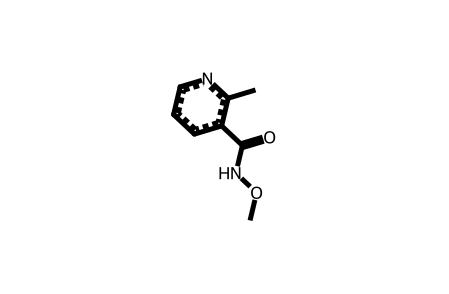 CONC(=O)c1cccnc1C